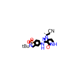 C[C@H](CC#N)n1nc(Nc2ccc3c(c2)CN(C(C)(C)C)S3(=O)=O)c2c(=O)[nH]ccc21